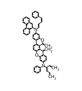 C=C/C=C(\C=C)N(c1ccccc1)c1ccc2c(c1)Oc1ccc3c(c1C2=C)C(=C)Oc1cc(N(/C=C/C=C\c2ccccc2)c2cc4ccccc4c4ccccc24)ccc1-3